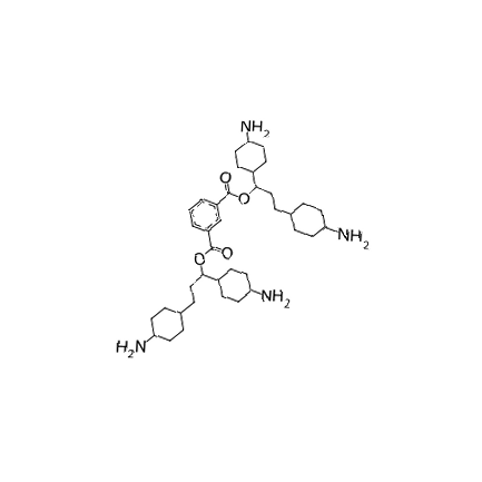 NC1CCC(CCC(OC(=O)c2cccc(C(=O)OC(CCC3CCC(N)CC3)C3CCC(N)CC3)c2)C2CCC(N)CC2)CC1